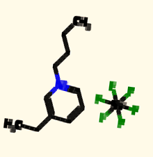 CCCC[n+]1cccc(CC)c1.[F][Sb-]([F])([F])([F])([F])[F]